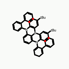 CC(C)(C)c1ccc2c(c1)B1c3cc(C(C)(C)C)ccc3N(c3ccccc3-c3ccccc3)c3cccc(c31)N2C1=CCCC=C1c1ccccc1